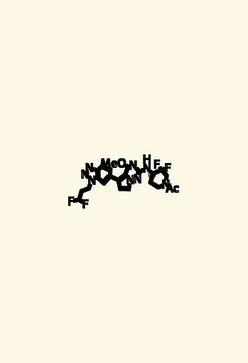 COc1nc(N[C@@H]2CCN(C(C)=O)CC2(F)F)nn2ccc(-c3ccc4nnn(CCC(F)F)c4c3)c12